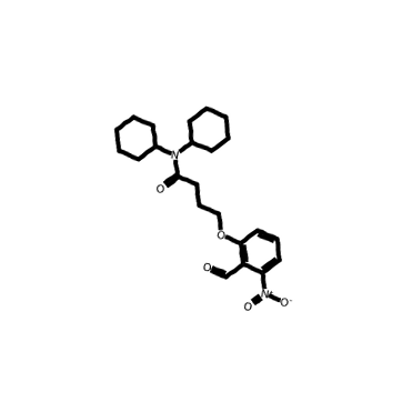 O=Cc1c(OCCCC(=O)N(C2CCCCC2)C2CCCCC2)cccc1[N+](=O)[O-]